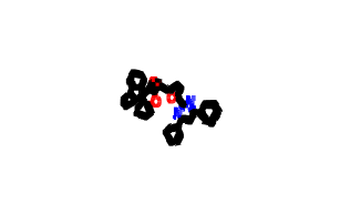 C1=CC2c3ccccc3C3(c4ccccc4Oc4c(-c5ccc(-c6nc(-c7ccccc7)cc(-c7ccccc7)n6)o5)cccc43)C2C=C1